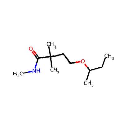 CCC(C)OCCC(C)(C)C(=O)NC